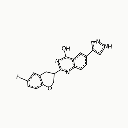 Oc1nc(C2COc3ccc(F)cc3C2)nc2ccc(-c3cn[nH]c3)cc12